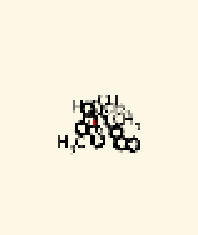 Cc1cc2c(ccc3ccccc32)cc1-c1cc(C(C)(C)C)cc[n+]1-[n+]1ccccc1-c1c(C)ccc2c1oc1ccccc12